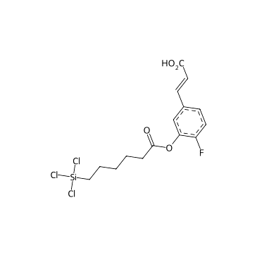 O=C(O)/C=C/c1ccc(F)c(OC(=O)CCCCC[Si](Cl)(Cl)Cl)c1